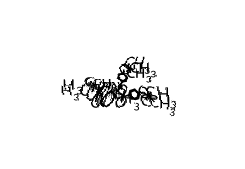 CC(C)(C)OC(=O)ON1CCC[C@@H](OC(=O)c2ccc(OC(C)(C)C)cc2)[C@H](NC(=O)c2ccc(OC(C)(C)C)cc2)C1